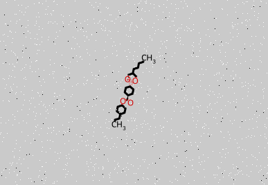 CCCCCC1COB([C@H]2CC[C@H](C(=O)OC3CCC(CCC)CC3)CC2)OC1